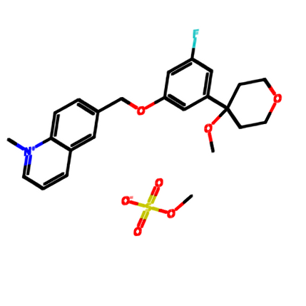 COC1(c2cc(F)cc(OCc3ccc4c(ccc[n+]4C)c3)c2)CCOCC1.COS(=O)(=O)[O-]